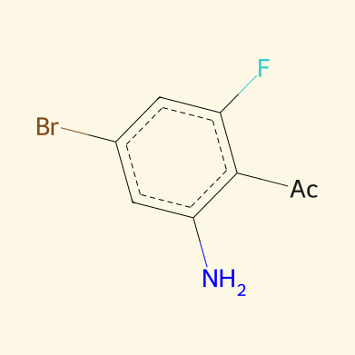 CC(=O)c1c(N)cc(Br)cc1F